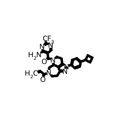 C=CC(=O)N1CCc2nn(-c3ccc(C4CCC4)cc3)c3c2C(C1)N(C(=O)c1cnc(C(F)(F)F)nc1N)CC3